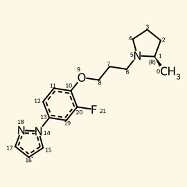 C[C@@H]1CCCN1CCCOc1ccc(-n2c[c]cn2)cc1F